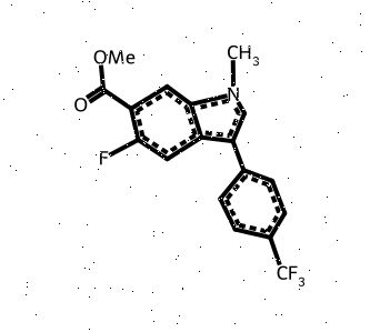 COC(=O)c1cc2c(cc1F)c(-c1ccc(C(F)(F)F)cc1)cn2C